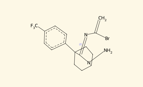 C=C(Br)/N=C1\N(N)C2CCC1(c1ccc(C(F)(F)F)cc1)CC2